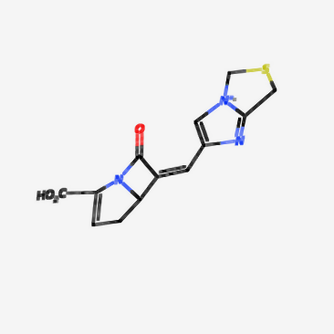 O=C(O)C1=CCC2C(=CC3=C[N+]4CSCC4=N3)C(=O)N12